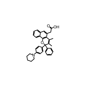 CC1=C(C)C(c2ccccc2)(c2ccc(N3CCCCC3)cc2)Oc2c1c(CC(=O)O)cc1ccccc21